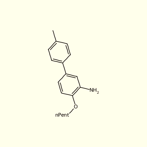 CCCCCOc1ccc(-c2ccc(C)cc2)cc1N